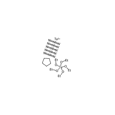 C1CCCC1.CC[O][Ta]([O]CC)([O]CC)([O]CC)[O]CC.[N-]=[N+]=[N-].[N-]=[N+]=[N-].[N-]=[N+]=[N-].[N-]=[N+]=[N-].[N-]=[N+]=[N-].[Ta+5]